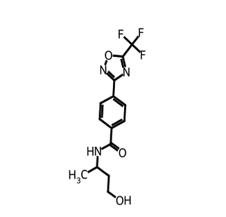 CC(CCO)NC(=O)c1ccc(-c2noc(C(F)(F)F)n2)cc1